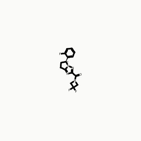 O=C(c1nc2n(n1)[C@H](c1ccccc1F)CC2)N1CC(F)(F)C1